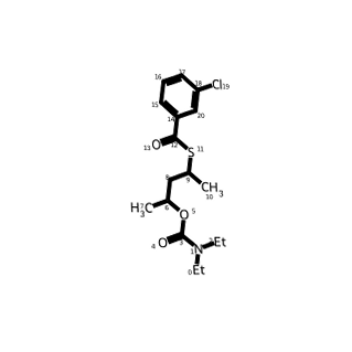 CCN(CC)C(=O)OC(C)CC(C)SC(=O)c1cccc(Cl)c1